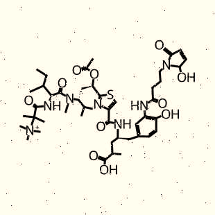 CCC(C)[C@H](NC(=O)C(C)(C)[N+](C)(C)C)C(=O)N(C)[C@H](C[C@@H](OC(C)=O)c1nc(C(=O)N[C@@H](Cc2ccc(O)c(NC(=O)CCCN3C(=O)C=CC3O)c2)CC(C)C(=O)O)cs1)C(C)C